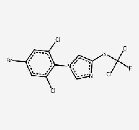 FC(Cl)(Cl)Sc1cn(-c2c(Cl)cc(Br)cc2Cl)cn1